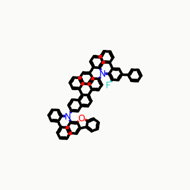 Fc1cc(-c2ccccc2)cc(-c2ccccc2)c1N(c1ccc2c(c1)c1ccccc1c1c3ccc(N(c4ccccc4-c4ccccc4)c4cccc5c4oc4ccccc45)cc3ccc21)c1ccccc1-c1ccccc1